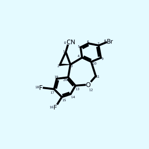 N#CC1C[C@]12c1ccc(Br)cc1COc1cc(F)c(F)cc12